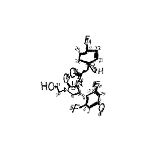 COc1cc(F)c([C@@H]2CN(CCO)C(=O)[C@H]2NC(=O)Nc2ccc(F)cc2)c(F)c1